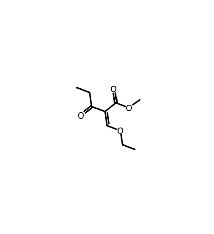 CCO/C=C(/C(=O)CC)C(=O)OC